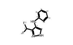 FC(F)c1n[nH]cc1Nc1ccccc1